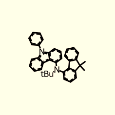 CC1(C)c2ccccc2-c2c(N(c3cccc4c3c3ccccc3n4-c3ccccc3)C(C)(C)C)cccc21